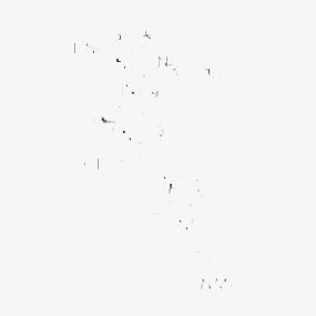 CNCCCn1ccc2c1ccc[n+]2CC1=C(C=O)N2C(=O)C(NC(=O)/C(=N\OCC(=O)O)c3nc(N)sc3Cl)C2SC1